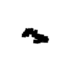 CC(C)S(=O)(=O)c1cccc(C(=O)NCC(=O)Nc2nc(C3(C#N)C=C(CO)C=C(c4ccccc4)C3)cs2)c1